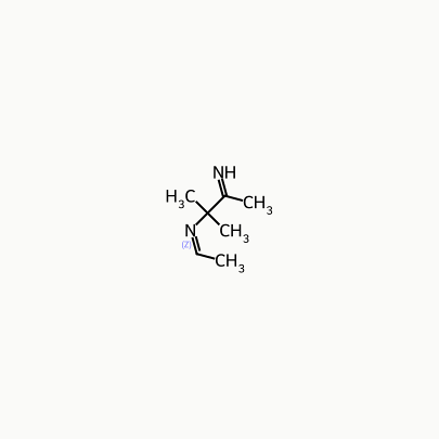 C/C=N\C(C)(C)C(C)=N